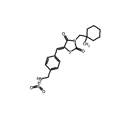 CC1(CN2C(=O)SC(=Cc3ccc(CN[SH](=O)=O)cc3)C2=O)CCCCC1